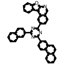 c1ccc2cc(-c3nc(-c4ccc5c(ccc6ccccc65)c4)nc(-c4ccc5cnc6oc7ccccc7c6c5c4)n3)ccc2c1